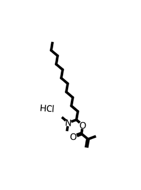 C=C(C)C(=O)OC(CCCCCCCCCCC)N(C)C.Cl